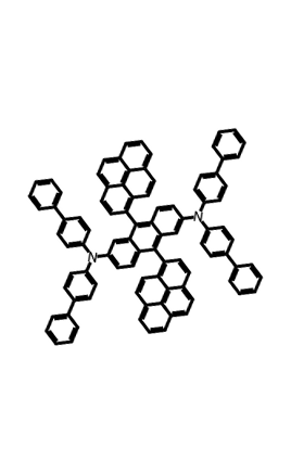 c1ccc(-c2ccc(N(c3ccc(-c4ccccc4)cc3)c3ccc4c(-c5ccc6ccc7cccc8ccc5c6c78)c5cc(N(c6ccc(-c7ccccc7)cc6)c6ccc(-c7ccccc7)cc6)ccc5c(-c5ccc6ccc7cccc8ccc5c6c78)c4c3)cc2)cc1